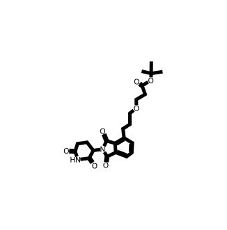 CC(C)(C)OC(=O)CCOCCCc1cccc2c1C(=O)N(C1CCC(=O)NC1=O)C2=O